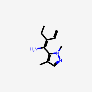 C=C/C(CC)=C(/N)c1c(C)cnn1C